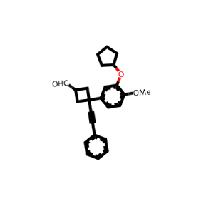 COc1ccc(C2(C#Cc3ccccc3)CC(C=O)C2)cc1OC1CCCC1